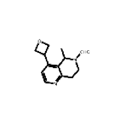 CC1c2c(C3COC3)ccnc2CCN1C=O